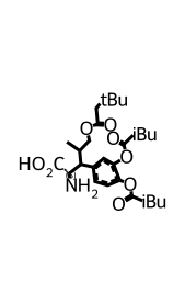 CCC(C)C(=O)Oc1ccc(C(C(C)COC(=O)CC(C)(C)C)[C@H](N)C(=O)O)cc1OC(=O)C(C)CC